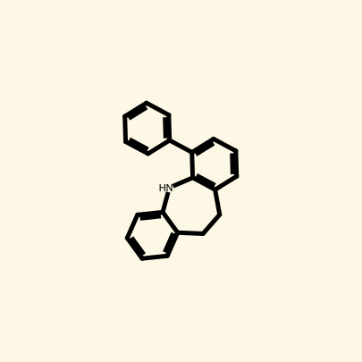 c1ccc(-c2cccc3c2Nc2ccccc2CC3)cc1